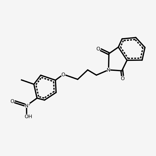 Cc1cc(OCCCN2C(=O)c3ccccc3C2=O)ccc1[N+](=O)O